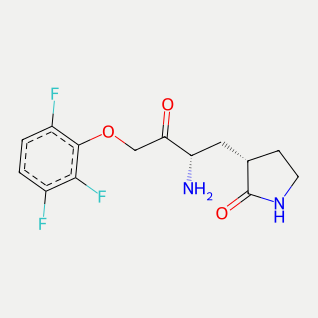 N[C@@H](C[C@@H]1CCNC1=O)C(=O)COc1c(F)ccc(F)c1F